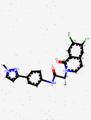 C[C@H](C(=O)Nc1ccc(-c2ccn(C)n2)cc1)n1ccc2cc(F)c(F)cc2c1=O